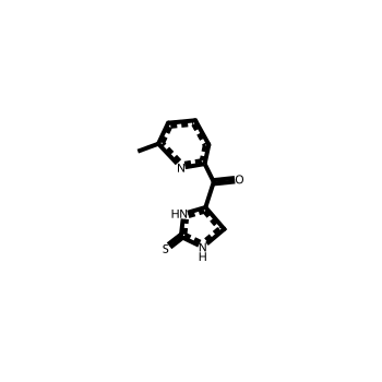 Cc1cccc(C(=O)c2c[nH]c(=S)[nH]2)n1